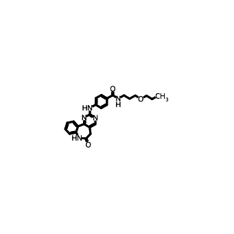 CCCOCCCNC(=O)c1ccc(Nc2ncc3c(n2)-c2ccccc2NC(=O)C3)cc1